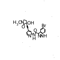 CN1CC[C@@](O)(C#Cc2ccnc(NC(=O)c3n[nH]c4ccc(Br)cc34)c2)C1=O